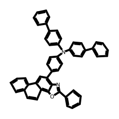 c1ccc(-c2ccc(N(c3ccc(-c4ccccc4)cc3)c3ccc(-c4cc5c6ccccc6ccc5c5oc(-c6ccccc6)nc45)cc3)cc2)cc1